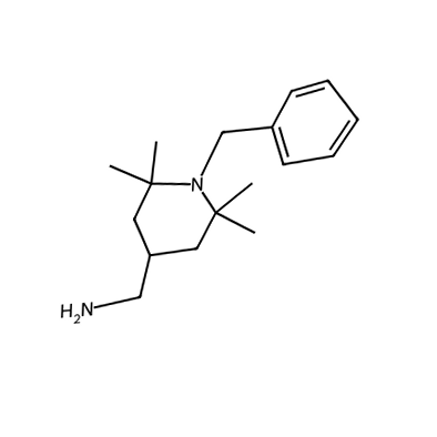 CC1(C)CC(CN)CC(C)(C)N1Cc1ccccc1